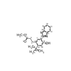 COC(=O)CCc1cc(-n2nc3ccccc3n2)c(O)cc1C(C)(C)C